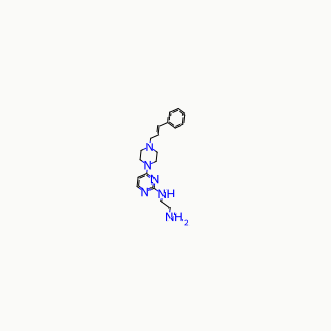 NCCNc1nccc(N2CCN(C/C=C/c3ccccc3)CC2)n1